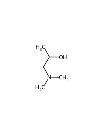 [CH2]N(C)CC(C)O